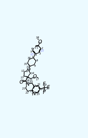 C=C(/C=C\C(=C/C)C1CCC(N2CCC(COC)(C(=O)N3CCc4ncc(C(F)(F)F)cc4C3)C2)CC1)OC